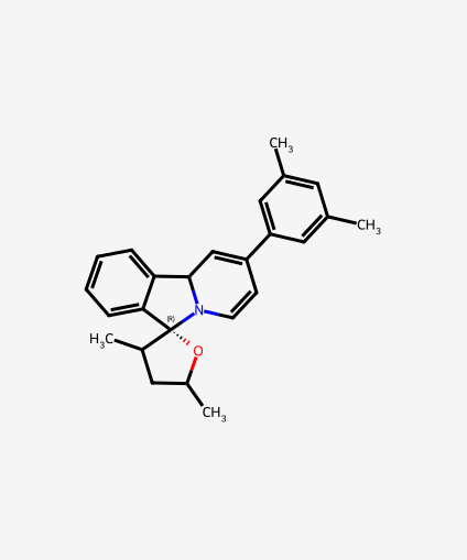 Cc1cc(C)cc(C2=CC3c4ccccc4[C@@]4(OC(C)CC4C)N3C=C2)c1